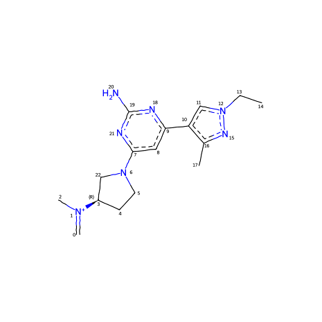 C=[N+](C)[C@@H]1CCN(c2cc(-c3cn(CC)nc3C)nc(N)n2)C1